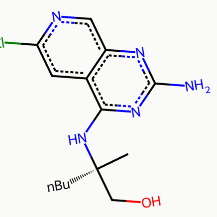 CCCC[C@](C)(CO)Nc1nc(N)nc2cnc(Cl)cc12